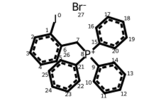 Ic1ccccc1C[P+](c1ccccc1)(c1ccccc1)c1ccccc1.[Br-]